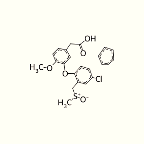 COc1ccc(CC(=O)O)cc1Oc1ccc(Cl)cc1C[S+](C)[O-].c1ccccc1